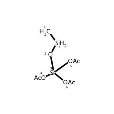 C[SiH2]O[Si](OC(C)=O)(OC(C)=O)OC(C)=O